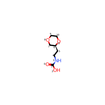 O=C(O)NCC[C@H]1COCCO1